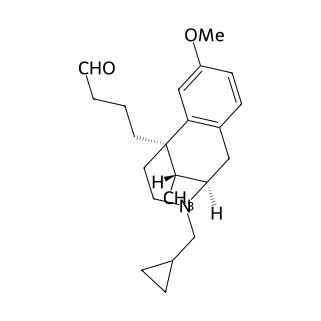 COc1ccc2c(c1)[C@]1(CCCC=O)CCN(CC3CC3)[C@H](C2)[C@@H]1C